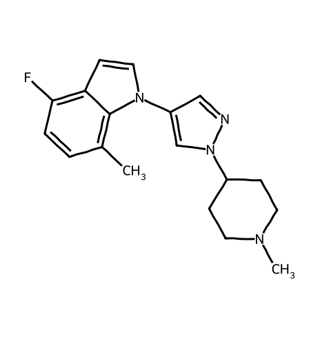 Cc1ccc(F)c2ccn(-c3cnn(C4CCN(C)CC4)c3)c12